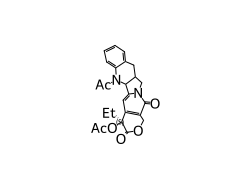 CC[C@@]1(OC(C)=O)C(=O)OCc2c1cc1n(c2=O)CC2Cc3ccccc3N(C(C)=O)C12